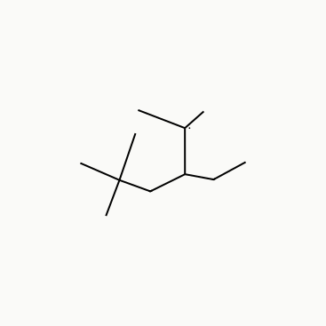 CCC(CC(C)(C)C)[C](C)C